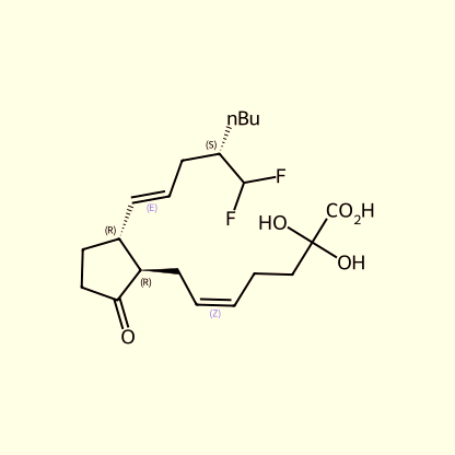 CCCC[C@@H](C/C=C/[C@H]1CCC(=O)[C@@H]1C/C=C\CCC(O)(O)C(=O)O)C(F)F